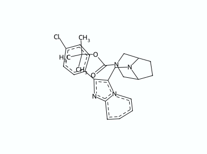 CC(C)(C)OC(=O)N1CC2CCC(C1)N2Cc1c(-c2ccc(Cl)cc2)nc2ccccn12